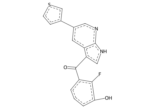 O=C(c1cccc(O)c1F)c1c[nH]c2ncc(-c3ccsc3)cc12